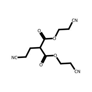 N#CCCOC(=O)C(CCC#N)C(=O)OCCC#N